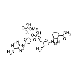 C=C1C[C@H](n2nnc3c(C(N)=O)cccc32)O[C@@H]1COP(=O)(S)O[C@H]1C[C@H](n2cnc3c(N)ncnc32)O[C@@H]1COP(=O)(S)OC